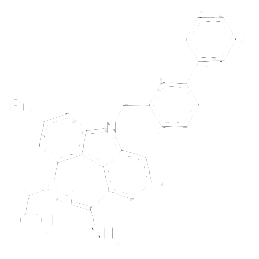 CC(C)c1cc(OCC(=O)O)c2c3c(C(N)=O)cccc3n(Cc3cccc(-c4ccccc4)c3)c2c1